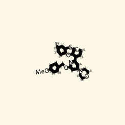 COc1ccc(COc2cc(N3CCOCC3)cc(-c3cccc4c3Oc3ccc(I)cc3S4)n2)cc1